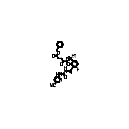 CCC(=O)c1ccc(F)c(C2CC2NC(=O)Nc2ccc(C#N)cn2)c1OC(O)C(=O)CCC(=O)OCc1ccccc1